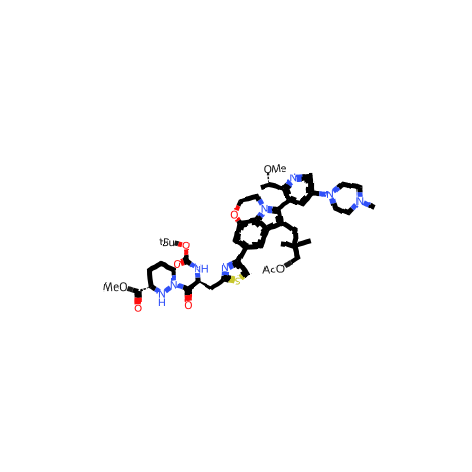 COC(=O)[C@@H]1CCCN(C(=O)[C@H](Cc2nc(-c3cc4c5c(c3)c(CC(C)(C)COC(C)=O)c(-c3cc(N6CCN(C)CC6)cnc3[C@H](C)OC)n5CCO4)cs2)NC(=O)OC(C)(C)C)N1